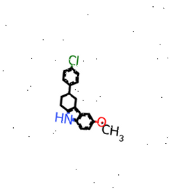 COc1ccc2[nH]c3c(c2c1)CC(c1ccc(Cl)cc1)CC3